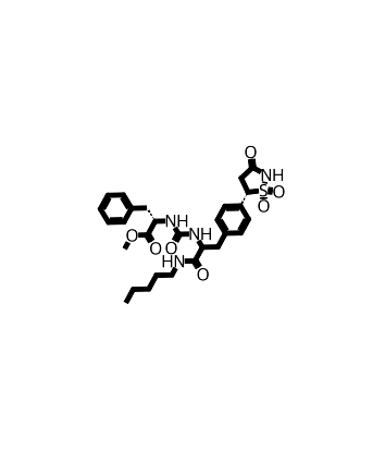 CCCCCNC(=O)C(Cc1ccc([C@@H]2CC(=O)NS2(=O)=O)cc1)NC(=O)N[C@@H](Cc1ccccc1)C(=O)OC